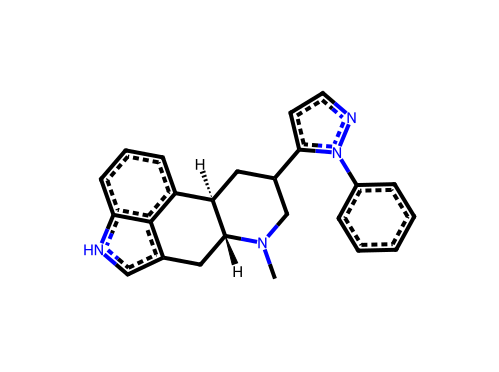 CN1CC(c2ccnn2-c2ccccc2)C[C@@H]2c3cccc4[nH]cc(c34)C[C@H]21